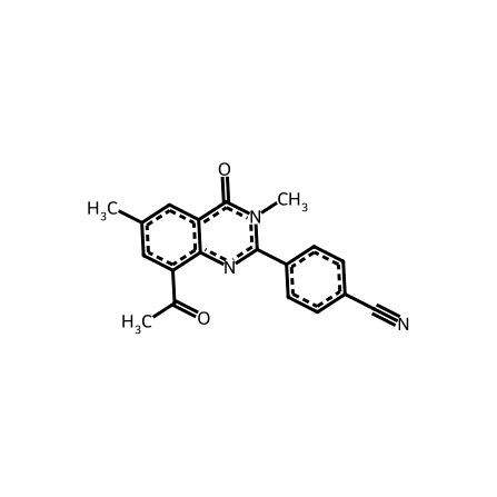 CC(=O)c1cc(C)cc2c(=O)n(C)c(-c3ccc(C#N)cc3)nc12